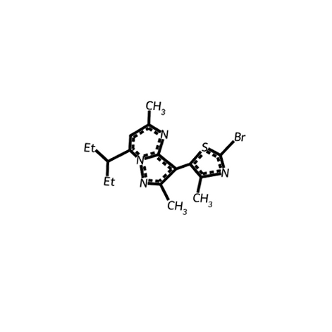 CCC(CC)c1cc(C)nc2c(-c3sc(Br)nc3C)c(C)nn12